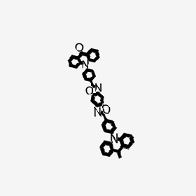 C=C1c2ccccc2N(c2ccc(-c3nc4cc5oc(-c6ccc(-n7c8ccccc8c(=O)c8ccccc87)cc6)nc5cc4o3)cc2)c2ccccc21